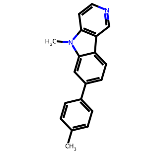 Cc1ccc(-c2ccc3c4cnccc4n(C)c3c2)cc1